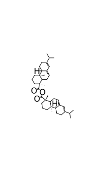 CC(C)C1=CC2=CCC3[C@](C)(CCC[C@]3(C)C(=O)OC(=O)[C@@]3(C)CCC[C@@]4(C)C3CC=C3C=C(C(C)C)CC[C@H]34)[C@@H]2CC1